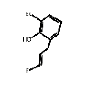 CCc1cccc(CC=CF)c1O